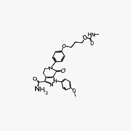 CNC(=O)OCCCOc1ccc(N2CCc3c(C(N)=O)nn(-c4ccc(OC)cc4)c3C2=O)cc1